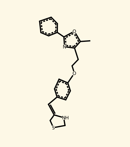 Cc1oc(-c2ccccc2)nc1CCOc1ccc(/C=C2/CSCN2)cc1